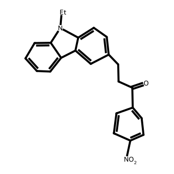 CCn1c2ccccc2c2cc(CCC(=O)c3ccc([N+](=O)[O-])cc3)ccc21